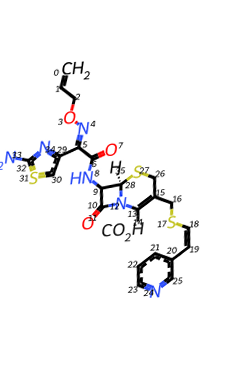 C=CCO/N=C(/C(=O)NC1C(=O)N2C(C(=O)O)=C(CS/C=C\c3cccnc3)CS[C@H]12)c1csc(N)n1